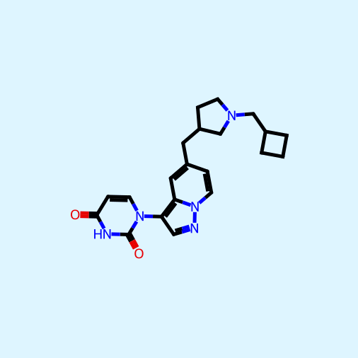 O=c1ccn(-c2cnn3ccc(CC4CCN(CC5CCC5)C4)cc23)c(=O)[nH]1